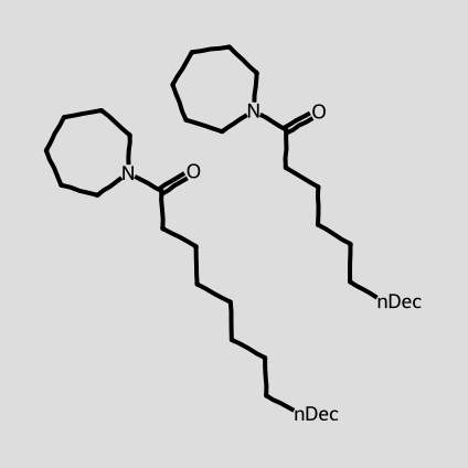 CCCCCCCCCCCCCCCC(=O)N1CCCCCC1.CCCCCCCCCCCCCCCCCC(=O)N1CCCCCC1